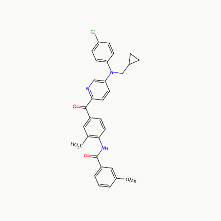 COc1cccc(C(=O)Nc2ccc(C(=O)c3ccc(N(CC4CC4)c4ccc(Cl)cc4)cn3)cc2C(=O)O)c1